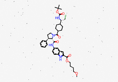 COCCCCOC(=O)c1cc2cc(NC(=O)[C@@H]3[C@@H](c4ccccc4)CCN3C(=O)C3CCC([C@@H](CF)NC(=O)OC(C)(C)C)CC3)ccc2[nH]1